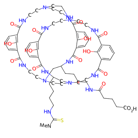 CNC(=S)NCCCCC1CN2CCNC(=O)c3cccc(c3O)C(=O)NCCN(CCNC(=O)c3cccc(c3O)C(=O)N1)CCN1CCNC(=O)c3cccc(c3O)C(=O)NCCN(CC2)CC(CCCCNC(=O)CCCC(=O)O)NC(=O)c2cccc(c2O)C(=O)NCC1